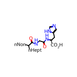 CCCCCCCCCC(CCCCCCC)C(=O)NCC(=O)N[C@@H](Cc1cnc[nH]1)C(=O)O